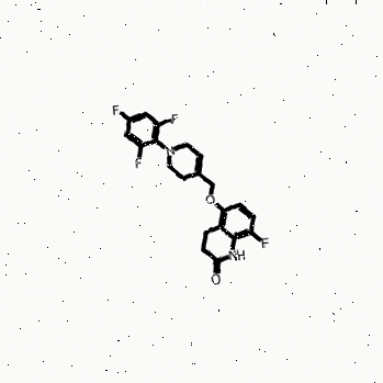 O=C1CCc2c(OCC3=CCN(c4c(F)cc(F)cc4F)CC3)ccc(F)c2N1